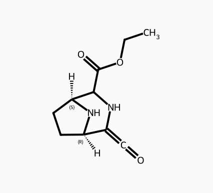 CCOC(=O)C1NC(=C=O)[C@H]2CC[C@@H]1N2